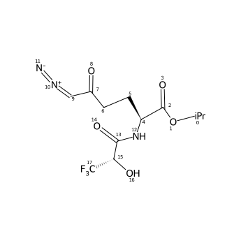 CC(C)OC(=O)[C@H](CCC(=O)C=[N+]=[N-])NC(=O)[C@H](O)C(F)(F)F